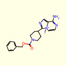 NC1=NC=C[N+]2(I)C1=CN=C2C1CCN(C(=O)OCc2ccccc2)CC1